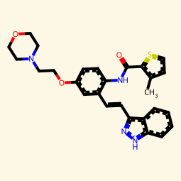 Cc1ccsc1C(=O)Nc1ccc(OCCN2CCOCC2)cc1C=Cc1n[nH]c2ccccc12